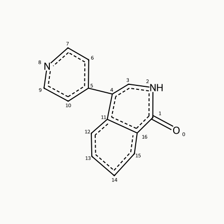 O=c1[nH]cc(-c2ccncc2)c2ccccc12